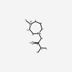 CC(C)C(=O)CN1CCCN(C)CC1